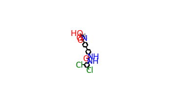 C[C@@H](C(=O)O)N(C)C(=O)c1ccc(-c2ccc(NC(=O)Nc3cc(Cl)cc(Cl)c3)cc2)cc1